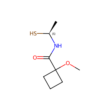 COC1(C(=O)N[C@H](C)S)CCC1